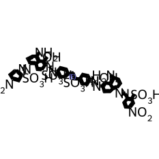 Nc1ccc(N=Nc2ccc([N+](=O)[O-])cc2S(=O)(=O)O)c2ccc(N=Nc3ccc(/C=C/c4ccc(N=Nc5c(S(=O)(=O)O)cc6c(N=Nc7ccc([N+](=O)[O-])cc7S(=O)(=O)O)ccc(N)c6c5O)cc4S(=O)(=O)O)cc3)c(O)c12